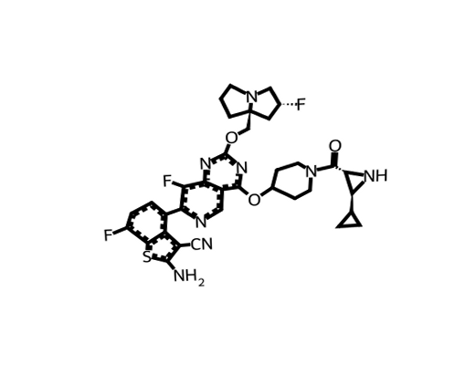 N#Cc1c(N)sc2c(F)ccc(-c3ncc4c(OC5CCN(C(=O)[C@@H]6N[C@H]6C6CC6)CC5)nc(OC[C@@]56CCCN5C[C@H](F)C6)nc4c3F)c12